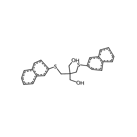 OCC(CO)(CSc1ccc2ccccc2c1)CSc1ccc2ccccc2c1